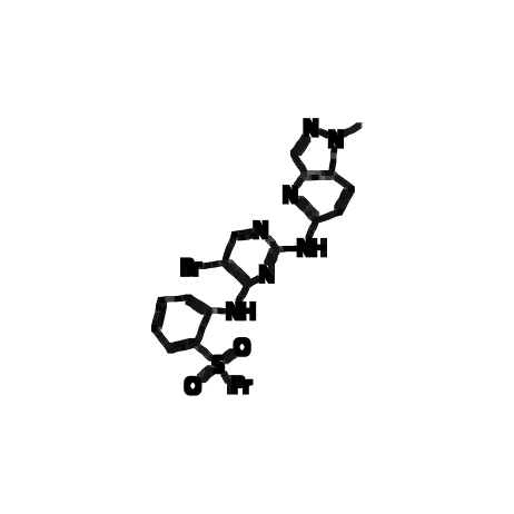 CC(C)S(=O)(=O)c1ccccc1Nc1nc(Nc2ccc3c(cnn3C)n2)ncc1Br